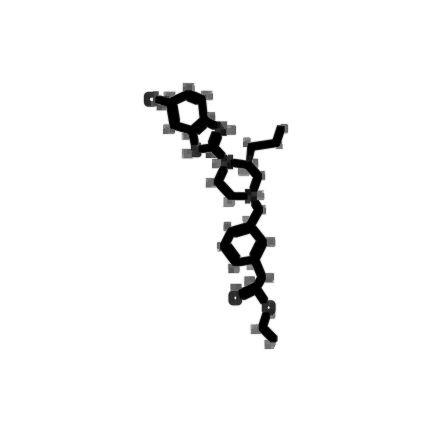 CCC[C@H]1CN(Cc2cccc(CC(=O)OCC)c2)CCN1c1nc2ccc(Cl)cc2s1